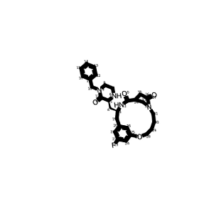 O=C1N[C@H](C[C@@H]2NCCN(Cc3ccccc3)C2=O)Cc2cc(F)cc(c2)OCCCCN2CC1CC2=O